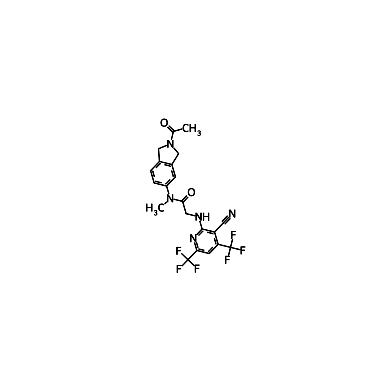 CC(=O)N1Cc2ccc(N(C)C(=O)CNc3nc(C(F)(F)F)cc(C(F)(F)F)c3C#N)cc2C1